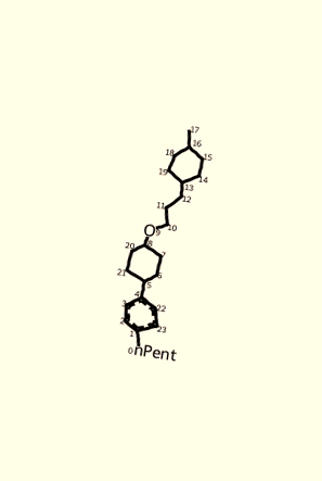 CCCCCc1ccc(C2CCC(OCCCC3CCC(C)CC3)CC2)cc1